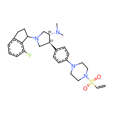 C=CS(=O)(=O)N1CCN(c2ccc([C@H]3CN(C4CCc5cccc(F)c54)C[C@@H]3N(C)C)cc2)CC1